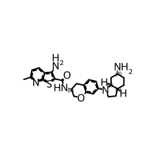 Cc1ccc2c(N)c(C(=O)N[C@H]3COc4cc(N5CC[C@H]6CC[C@@H](N)C[C@H]65)ccc4C3)sc2n1